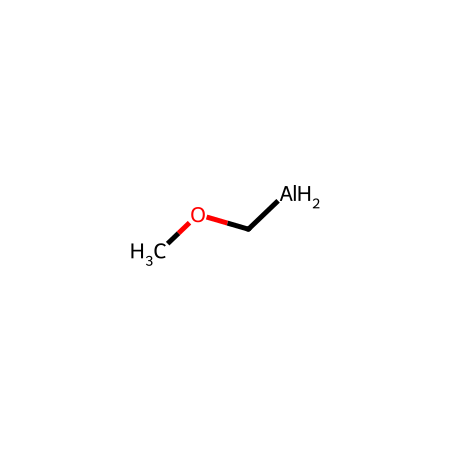 CO[CH2][AlH2]